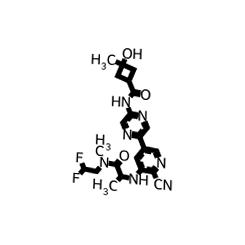 CC(Nc1cc(-c2cnc(NC(=O)C3CC(C)(O)C3)cn2)cnc1C#N)C(=O)N(C)CC(F)F